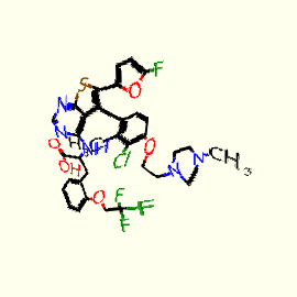 Cc1c(-c2c(-c3ccc(F)o3)sc3ncnc(NC(Cc4ccccc4OCC(F)(F)F)C(=O)O)c23)ccc(OCCN2CCN(C)CC2)c1Cl